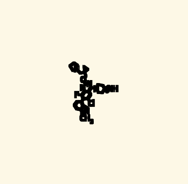 Cn1ncc2c(-c3c(Cl)cc4c(N5CCC6(CC5)CNC6)nc(OCC5(CN6CCCC6)CC5)nc4c3F)cccc21